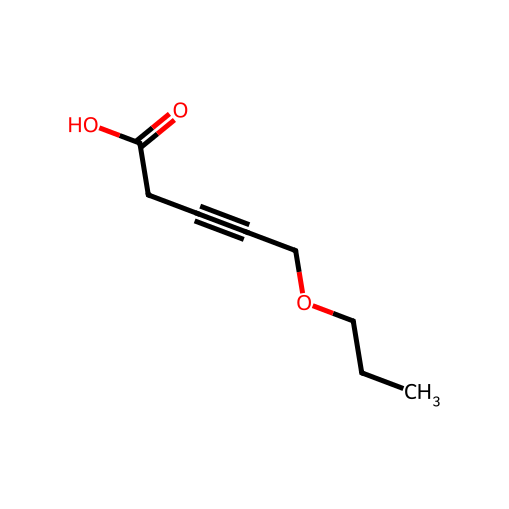 CCCOCC#CCC(=O)O